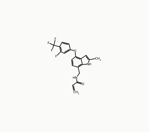 C=CC(=O)NCc1ccc(Oc2ccc(C(F)(F)F)c(F)c2)c2cc(C)[nH]c12